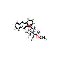 COC(=O)[C@@]1(C)N[C@@H](c2ccccc2)C2(C(=O)c3ccc4ccccc4c3)CC1C2